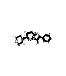 Cc1c(-c2ccccc2)nc2ccc(N3CCOCC3)nn12